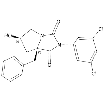 O=C1N(c2cc(Cl)cc(Cl)c2)C(=O)[C@]2(Cc3ccccc3)C[C@@H](O)CN12